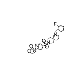 O=C1OCCN1c1ccc(S(=O)(=O)N2CCC3(CCCN(Cc4ccccc4F)C3)CC2)cn1